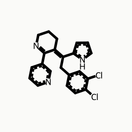 Clc1ccc(CC(=C2CCCN=C2c2cccnc2)c2ccc[nH]2)cc1Cl